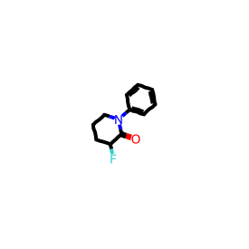 O=C1C(F)CCCN1c1ccccc1